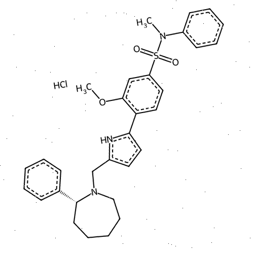 COc1cc(S(=O)(=O)N(C)c2ccccc2)ccc1-c1ccc(CN2CCCCC[C@@H]2c2ccccc2)[nH]1.Cl